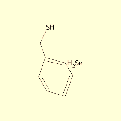 SCc1ccccc1.[SeH2]